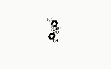 N#Cc1cccc(S(=O)(=O)Nc2ccc(C(F)(F)F)cn2)c1